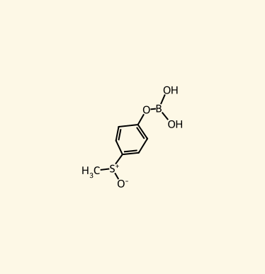 C[S+]([O-])c1ccc(OB(O)O)cc1